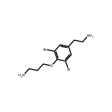 NCCCOc1c(Br)cc(CCN)cc1Br